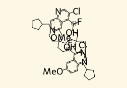 COc1ccc2ncc(Cl)c([C@@H](F)CCC3(C(O)C(O)C4(CC[C@H](F)c5c(Cl)cnc6ccc(OC)cc56)CCN(CC5CCCC5)CC4)CCN(CCC4CCCC4)CC3)c2c1